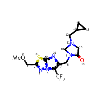 COCc1nn2c(C(F)(F)F)c(CN3CN(CC4CC4)CC3=O)nc2s1